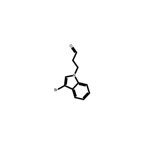 O=CCCn1cc(Br)c2ccccc21